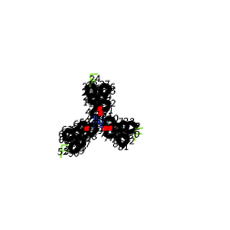 Fc1ccc2c(c1)C1(C(c3ccc(N(c4ccc(C5=Cc6ccc(F)cc6C56c5ccccc5-c5ccccc56)cc4)c4ccc(C5=Cc6ccc(F)cc6C56c5ccccc5-c5ccccc56)cc4)cc3)=C2)c2ccccc2-c2ccccc21